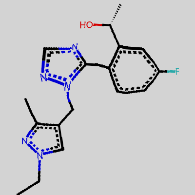 CCn1cc(Cn2ncnc2-c2ccc(F)cc2[C@@H](C)O)c(C)n1